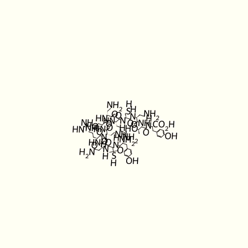 C[C@@H](O)[C@H](NC(=O)[C@H](CCN)NC(=O)[C@H](CS)NC(=O)[C@H](CCCCN)NC(=O)[C@@H](CCN)NC(=O)[C@@H](NC(=O)[C@H](CCN)NC(=O)[C@H](CCCNC(=N)N)NC(=O)[C@H](CC(N)=O)NC(=O)[C@@H](NC(=O)[C@@H](N)Cc1ccc(O)cc1)C(C)(C)S)[C@@H](C)O)C(=O)N[C@@H](Cc1ccc(O)cc1)C(=O)O